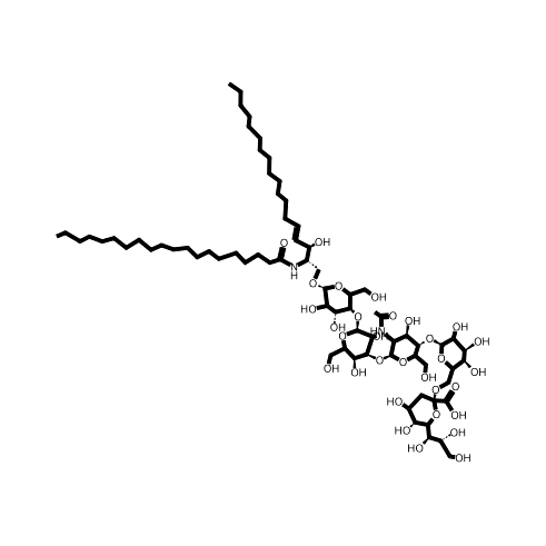 CCCCCCCCCCCCC/C=C/[C@@H](O)[C@H](CO[C@@H]1OC(CO)[C@@H](O[C@@H]2OC(CO)[C@H](O)[C@H](O[C@@H]3OC(CO)[C@@H](O[C@@H]4OC(CO[C@]5(C(=O)O)CC(O)[C@@H](O)C([C@H](O)[C@H](O)CO)O5)[C@H](O)[C@H](O)C4O)[C@H](O)C3NC(C)=O)C2O)[C@H](O)C1O)NC(=O)CCCCCCCCCCCCCCCCCCC